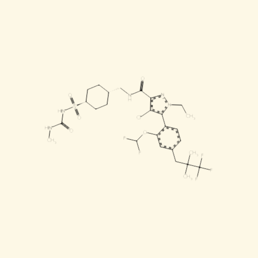 CCn1nc(C(=O)NC[C@H]2CC[C@H](S(=O)(=O)NC(=O)NC)CC2)c(Cl)c1-c1ccc(CC(C)(C)C(F)(F)F)cc1OC(F)F